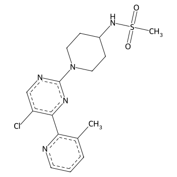 Cc1cccnc1-c1nc(N2CCC(NS(C)(=O)=O)CC2)ncc1Cl